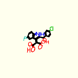 O=C(c1ccc(Cl)cc1)c1[nH]c2ccc(F)cc2c1C(C(=O)O)C(=O)O